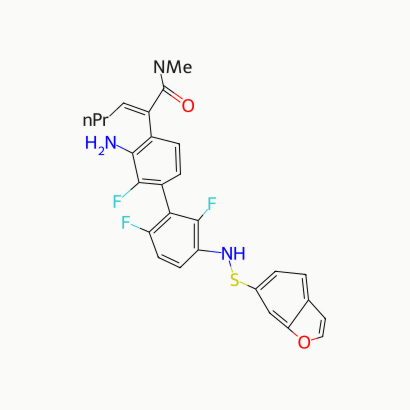 CCC/C=C(/C(=O)NC)c1ccc(-c2c(F)ccc(NSc3ccc4ccoc4c3)c2F)c(F)c1N